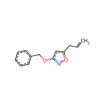 C=CCc1cc(OCc2ccccc2)no1